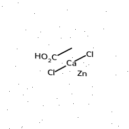 CC(=O)O.[Cl][Ca][Cl].[Zn]